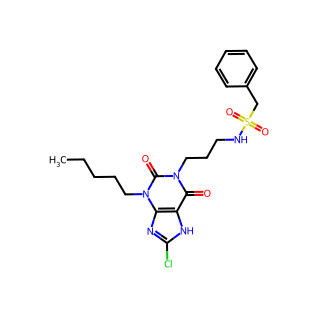 CCCCCn1c(=O)n(CCCNS(=O)(=O)Cc2ccccc2)c(=O)c2[nH]c(Cl)nc21